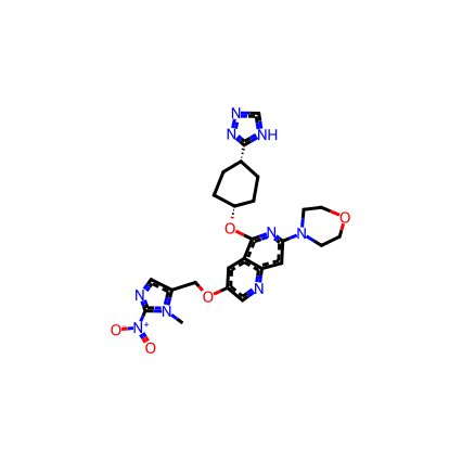 Cn1c(COc2cnc3cc(N4CCOCC4)nc(O[C@H]4CC[C@@H](c5nnc[nH]5)CC4)c3c2)cnc1[N+](=O)[O-]